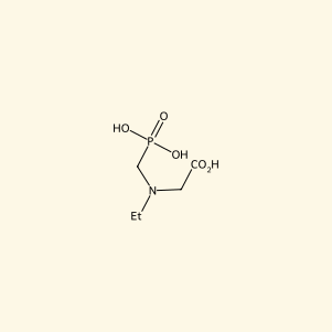 CCN(CC(=O)O)CP(=O)(O)O